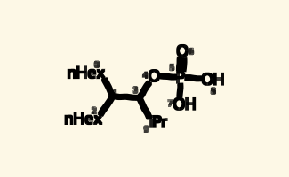 CCCCCCC(CCCCCC)C(OP(=O)(O)O)C(C)C